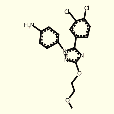 COCCOc1nc(-c2ccc(Cl)c(Cl)c2)n(-c2ccc(N)cc2)n1